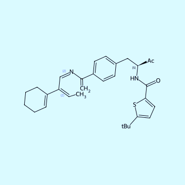 C=C(/N=C\C(=C/C)C1=CCCCC1)c1ccc(C[C@H](NC(=O)c2ccc(C(C)(C)C)s2)C(C)=O)cc1